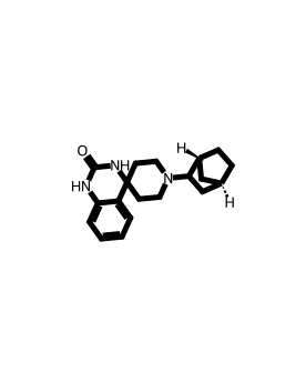 O=C1Nc2ccccc2C2(CCN(C3C[C@@H]4CC[C@@H]3C4)CC2)N1